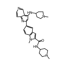 CN1CCC(NC(=O)c2cc3cc(-c4cc(NC5CCN(C)CC5)c5cnccc5n4)ccc3n2C)CC1